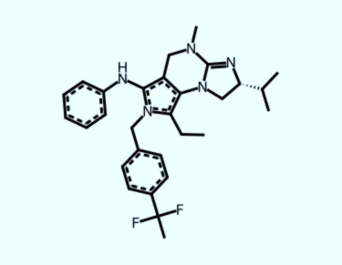 CCc1c2c(c(Nc3ccccc3)n1Cc1ccc(C(C)(F)F)cc1)CN(C)C1=N[C@H](C(C)C)CN12